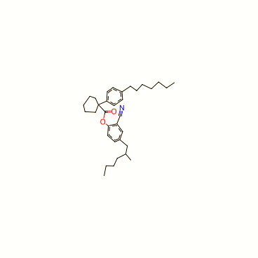 CCCCCCCc1ccc(C2(C(=O)Oc3ccc(CC(C)CCCC)cc3C#N)CCCCC2)cc1